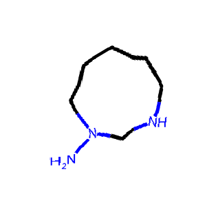 NN1CCCCCNC1